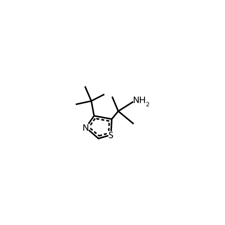 CC(C)(C)c1ncsc1C(C)(C)N